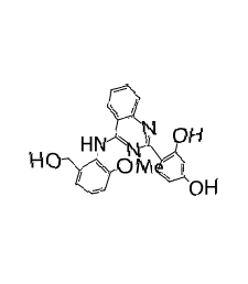 COc1cccc(CO)c1Nc1nc(-c2ccc(O)cc2O)nc2ccccc12